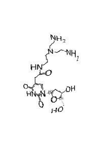 NCCN(CCN)CCNC(=O)Cc1cn([C@@H]2CC(O)[C@H](CO)O2)c(=O)[nH]c1=O